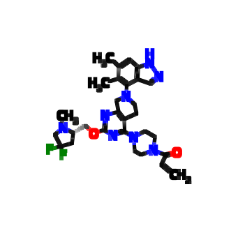 C=CC(=O)N1CCN(c2nc(OC[C@@H]3CC(F)(F)CN3C)nc3c2CCN(c2c(C)c(C)cc4[nH]ncc24)C3)CC1